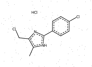 Cc1[nH]c(-c2ccc(Cl)cc2)nc1CCl.Cl